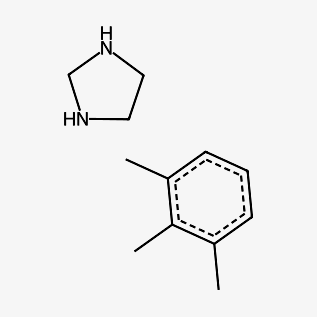 C1CNCN1.Cc1cccc(C)c1C